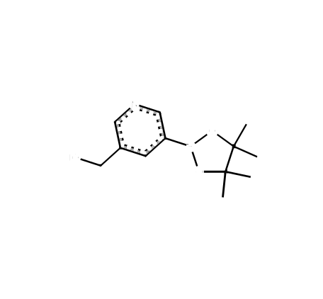 CC1(C)OB(c2cncc(CO)c2)OC1(C)C